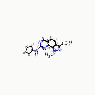 Cn1nc(C(=O)O)c2ccc3cnc(NC4CCCC4)nc3c21